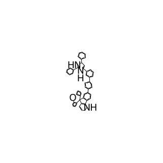 C1=CC2=C(NC1)c1ccc(-c3ccc(-c4cccc(C5=CC(c6ccccc6)NC(c6ccccc6)N5)c4)cc3)cc1C21c2ccccc2Oc2ccccc21